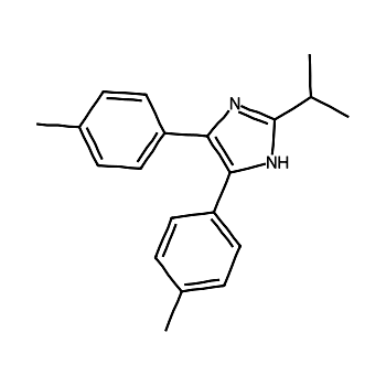 Cc1ccc(-c2nc(C(C)C)[nH]c2-c2ccc(C)cc2)cc1